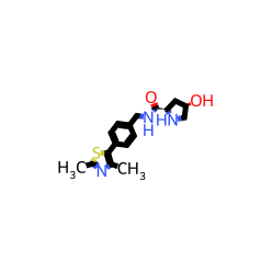 Cc1nc(C)c(-c2ccc(CNC(=O)[C@@H]3C[C@@H](O)CN3)cc2)s1